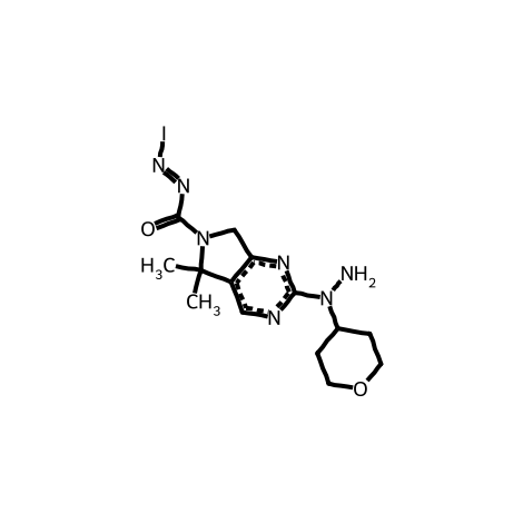 CC1(C)c2cnc(N(N)C3CCOCC3)nc2CN1C(=O)N=NI